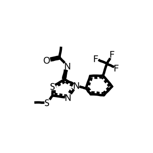 CSc1nn(-c2cccc(C(F)(F)F)c2)c(=NC(C)=O)s1